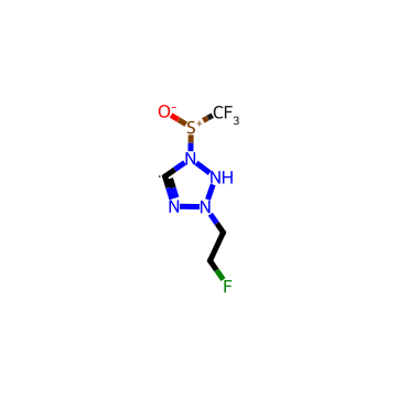 [O-][S+](N1[C]=NN(CCF)N1)C(F)(F)F